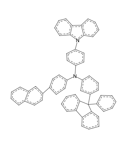 c1ccc(C2(c3cccc(N(c4ccc(-c5ccc6ccccc6c5)cc4)c4ccc(-n5c6ccccc6c6ccccc65)cc4)c3)c3ccccc3-c3ccccc32)cc1